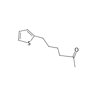 CC(=O)CCCCc1cccs1